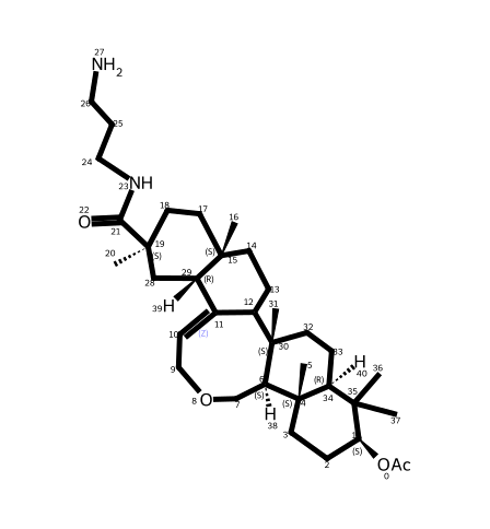 CC(=O)O[C@H]1CC[C@]2(C)[C@H]3COC/C=C4\C(CC[C@@]5(C)CC[C@](C)(C(=O)NCCCN)C[C@@H]45)[C@]3(C)CC[C@H]2C1(C)C